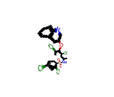 C=C(Cl)/C(Oc1cnc2ccccc2c1)=C(Cl)\C=C(/C)NS(=O)(=O)c1ccc(Cl)cc1Cl